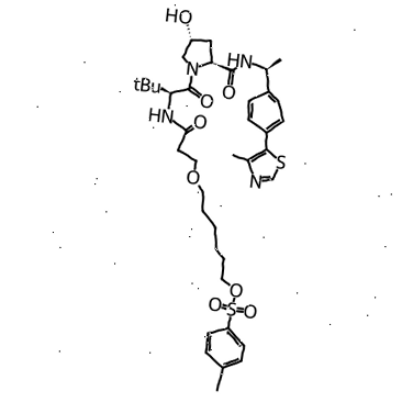 Cc1ccc(S(=O)(=O)OCCCCCCOCCC(=O)N[C@H](C(=O)N2C[C@H](O)C[C@H]2C(=O)N[C@@H](C)c2ccc(-c3scnc3C)cc2)C(C)(C)C)cc1